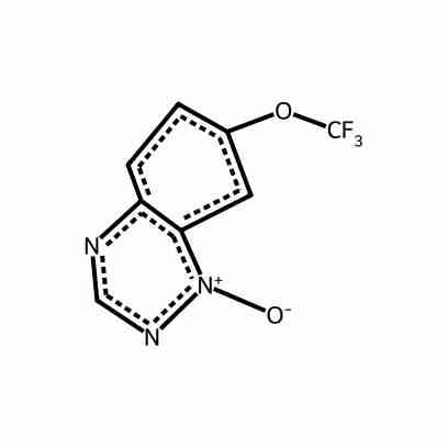 [O-][n+]1ncnc2ccc(OC(F)(F)F)cc21